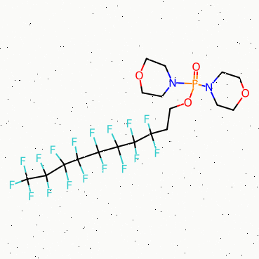 O=P(OCCC(F)(F)C(F)(F)C(F)(F)C(F)(F)C(F)(F)C(F)(F)C(F)(F)C(F)(F)F)(N1CCOCC1)N1CCOCC1